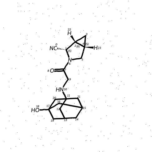 N#C[C@@H]1[C@@H]2C[C@@H]2CN1C(=O)CNC12CC3CC(CC(O)(C3)C1)C2